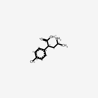 CC(N)CC(C(=O)O)c1ccc(Cl)cc1